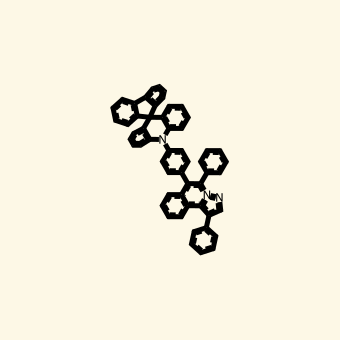 c1ccc(-c2cnn3c(-c4ccccc4)c(-c4ccc(N5c6ccccc6C6(c7ccccc7-c7ccccc76)c6ccccc65)cc4)c4ccccc4c23)cc1